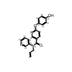 C=CCN(C(=O)c1ccc(Oc2ccc(O)cc2)nc1)c1cccnc1